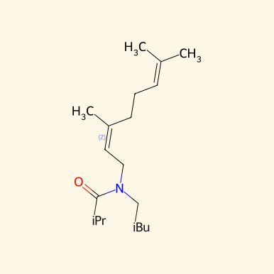 CCC(C)CN(C/C=C(/C)CCC=C(C)C)C(=O)C(C)C